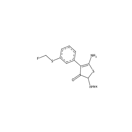 CCCCCCC1SC(N)=C(c2cccc(SCF)c2)C1=O